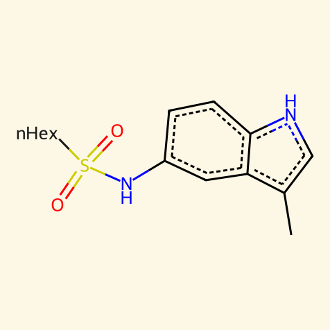 CCCCCCS(=O)(=O)Nc1ccc2[nH]cc(C)c2c1